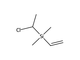 C=C[Si](C)(C)C(C)Cl